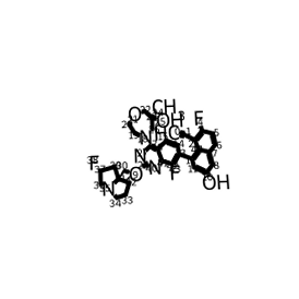 C#Cc1c(F)ccc2cc(O)cc(-c3ccc4c(N5CCOCC(C)(O)C5)nc(OC[C@@]56CCCN5C[C@H](F)C6)nc4c3F)c12